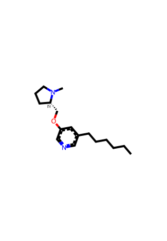 CCCCCCc1cncc(OC[C@@H]2CCCN2C)c1